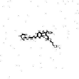 CCCCOC(=O)CC(=O)C(CC)Sc1ccc(CCCCOC2CCCCO2)cc1